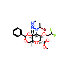 C/N=N\N(C(C)Br)[C@H]1[C@H]2OC(c3ccccc3)OC[C@H]2O[C@@H](C(=O)OC)[C@@H]1OCC(F)F